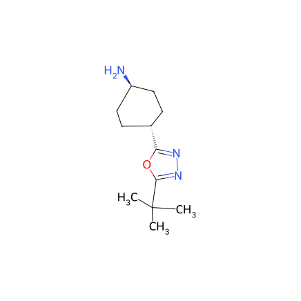 CC(C)(C)c1nnc([C@H]2CC[C@H](N)CC2)o1